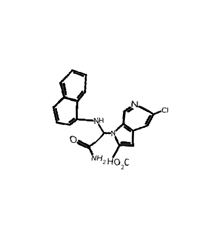 NC(=O)C(Nc1cccc2ccccc12)n1c(C(=O)O)cc2cc(Cl)ncc21